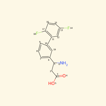 NC(CC(=O)O)c1cccc(-c2cc(F)ccc2F)c1